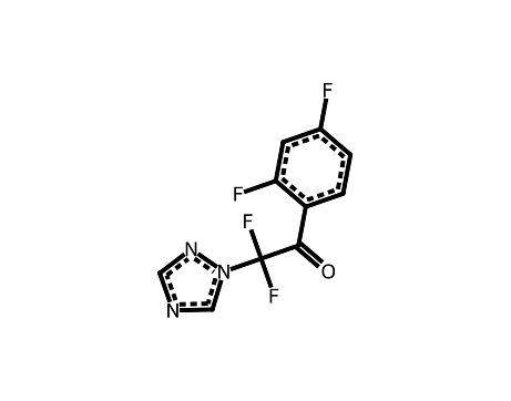 O=C(c1ccc(F)cc1F)C(F)(F)n1cncn1